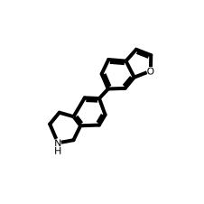 c1cc2ccc(-c3ccc4c(c3)CCNC4)cc2o1